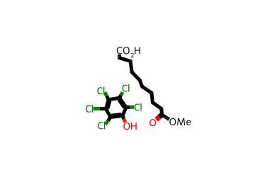 COC(=O)CCCCCCCCC(=O)O.Oc1c(Cl)c(Cl)c(Cl)c(Cl)c1Cl